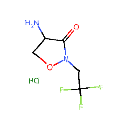 Cl.NC1CON(CC(F)(F)F)C1=O